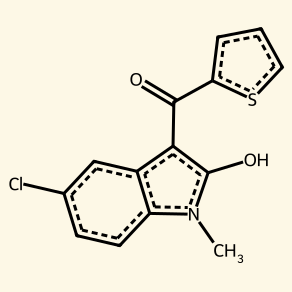 Cn1c(O)c(C(=O)c2cccs2)c2cc(Cl)ccc21